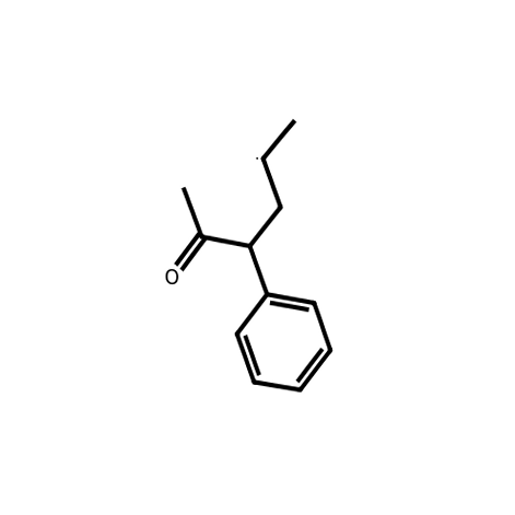 C[CH]CC(C(C)=O)c1ccccc1